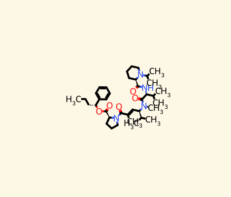 CCC[C@@H](OC(=O)[C@@H]1CCCN1C(=O)/C(C)=C/[C@H](C(C)C)N(C)C(=O)[C@@H](NC(=O)[C@H]1CCCCN1C(C)C)C(C)C)c1ccccc1